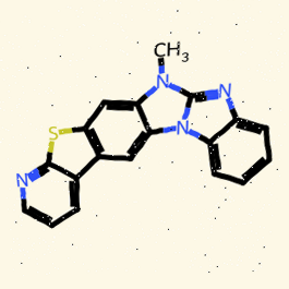 Cn1c2cc3sc4ncccc4c3cc2n2c3ccccc3nc12